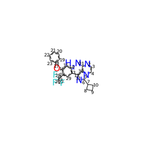 Nc1nccn2c(C3CCC3)nc(-c3ccc(Oc4ccccc4)c(C(F)(F)F)c3)c12